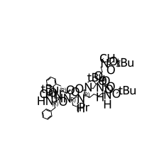 CC(C)C[C@@H](NC(=O)[C@@H](Cc1ccccc1)NC(=O)[C@@H](Cc1ccccc1)NC(=O)OC(C)(C)C)C(=O)N[C@H](CCCCNC(=O)OC(C)(C)C)C(=O)N1CCC(NC(=O)OC(C)(C)C)(C(=O)OCCN(C)C(=O)OC(C)(C)C)C1